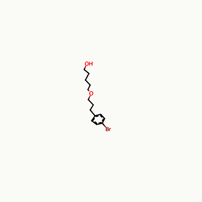 OCCCCCOCCCc1ccc(Br)cc1